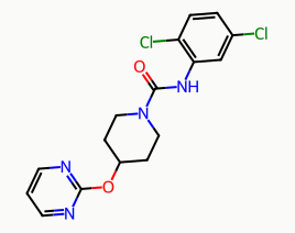 O=C(Nc1cc(Cl)ccc1Cl)N1CCC(Oc2ncccn2)CC1